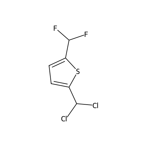 FC(F)c1ccc(C(Cl)Cl)s1